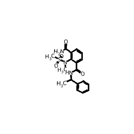 CC(NC(=O)c1cccc(C(N)=O)c1N(C)S(C)(=O)=O)c1ccccc1